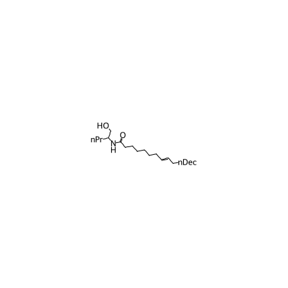 CCCCCCCCCCCC=CCCCCCCC(=O)NC(CO)CCC